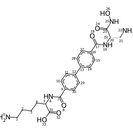 NCCCCC(NC(=O)c1ccc(-c2ccc(C(=O)N[C@@H](CN)C(=O)NO)cc2)cc1)C(=O)O